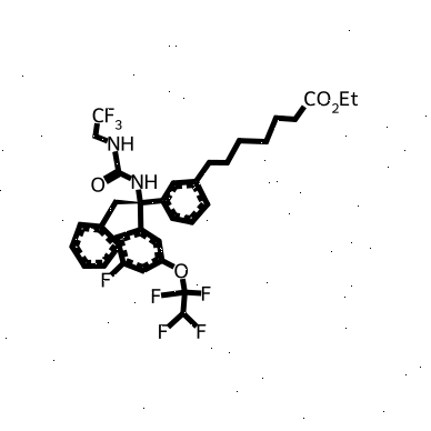 CCOC(=O)CCCCCCc1cccc([C@@](Cc2ccccc2)(NC(=O)NCC(F)(F)F)c2cc(F)cc(OC(F)(F)C(F)F)c2)c1